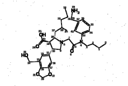 CCCCN(C(=O)CN1C[C@H](c2cc(CO)c3c(c2)OCO3)[C@@H](C(=O)O)[C@@H]1CC(C)CCC)c1cccc(CN)c1